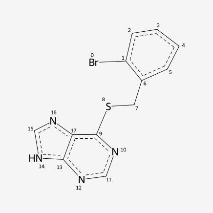 Brc1ccccc1CSc1ncnc2[nH]cnc12